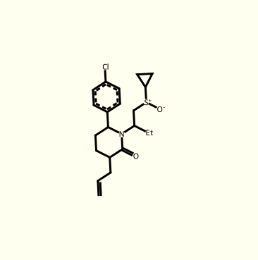 C=CCC1CCC(c2ccc(Cl)cc2)N(C(CC)C[S+]([O-])C2CC2)C1=O